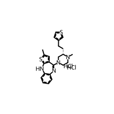 Cc1cc2c(s1)Nc1ccccc1N=C2N1CCN(C)[C@@H](CCc2ccsc2)C1.Cl.Cl